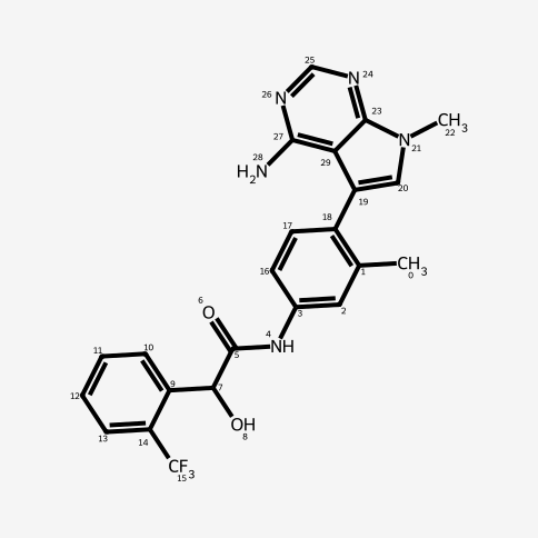 Cc1cc(NC(=O)C(O)c2ccccc2C(F)(F)F)ccc1-c1cn(C)c2ncnc(N)c12